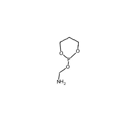 NCOP1OCCCO1